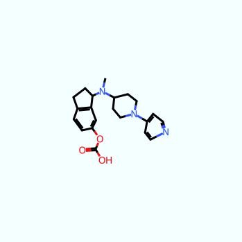 CN(C1CCN(c2ccncc2)CC1)C1CCc2ccc(OC(=O)O)cc21